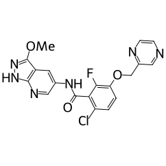 COc1n[nH]c2ncc(NC(=O)c3c(Cl)ccc(OCc4cnccn4)c3F)cc12